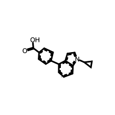 O=C(O)c1ccc(-c2c[c]cc3c2ccn3C2CC2)cc1